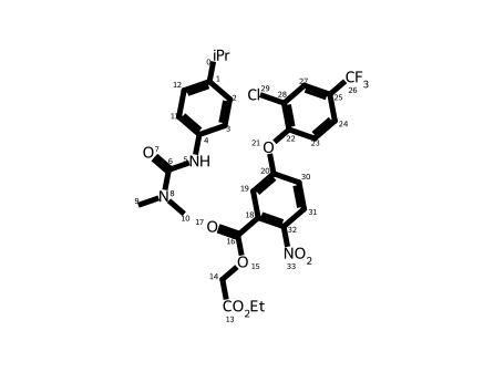 CC(C)c1ccc(NC(=O)N(C)C)cc1.CCOC(=O)COC(=O)c1cc(Oc2ccc(C(F)(F)F)cc2Cl)ccc1[N+](=O)[O-]